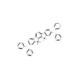 CC1(C)c2cc(N(C3=CCCC=C3)c3ccccc3)ccc2-c2ccc3c(c21)C(C)(C)c1cc(N(c2ccccc2)c2ccccc2)ccc1-3